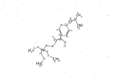 CCC[N+](CC)(CCC)CCOC(=O)C1=CCC(OC(C)O)C=C1